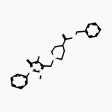 Cn1c(CN2CCC(C(=O)OCc3ccccc3)CC2)c(Br)c(=O)n1-c1ccccc1